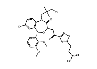 COc1cccc([C@H]2O[C@H](CC(=O)c3noc(CCC(=O)O)n3)C(=O)N(CC(C)(C)CO)c3ccc(Cl)cc32)c1OC